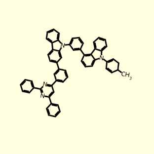 CC1C=CC(n2c3ccccc3c3c(-c4cccc(-n5c6ccccc6c6ccc(-c7cccc(-c8cc(-c9ccccc9)nc(-c9ccccc9)n8)c7)cc65)c4)cccc32)=CC1